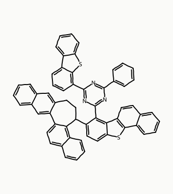 c1ccc(-c2nc(-c3cccc4c3sc3ccccc34)nc(-c3c(C4CCc5cc6ccccc6cc5-c5ccc6ccccc6c54)ccc4sc5c6ccccc6ccc5c34)n2)cc1